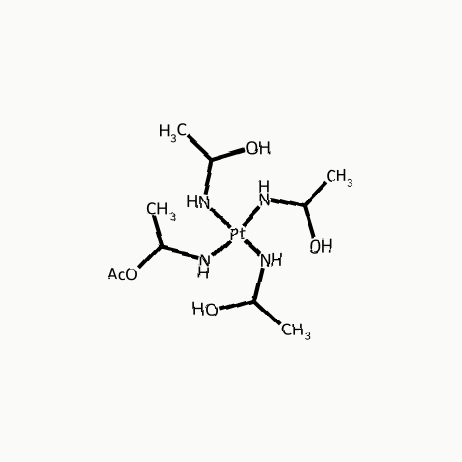 CC(=O)OC(C)[NH][Pt]([NH]C(C)O)([NH]C(C)O)[NH]C(C)O